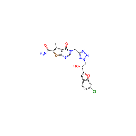 Cc1c(C(N)=O)sc2ncn(Cc3nnn(C[C@H](O)c4cc5ccc(Cl)cc5o4)n3)c(=O)c12